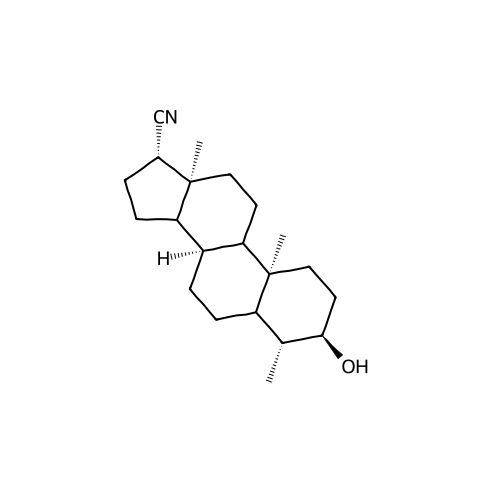 C[C@@H]1C2CC[C@@H]3C(CC[C@@]4(C)C3CC[C@@H]4C#N)[C@@]2(C)CC[C@H]1O